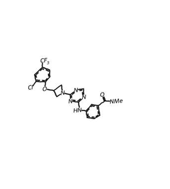 CNC(=O)c1cccc(Nc2ncnc(N3CC(Oc4ccc(C(F)(F)F)cc4Cl)C3)n2)c1